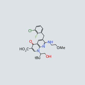 COCCNc1nc2c(cc1Cc1cccc(Cl)c1F)c(=O)c(C(=O)O)cn2C(CO)C(C)(C)C